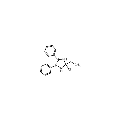 CCC1(Cl)NN(c2ccccc2)N(c2ccccc2)N1